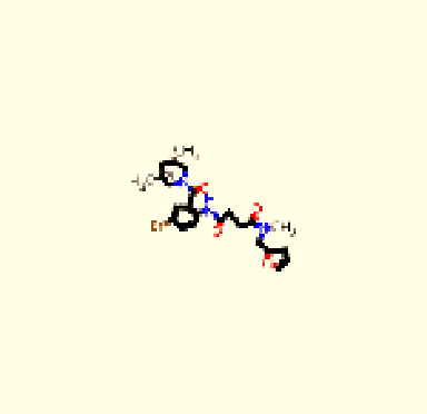 C[C@@H]1C[C@H](C)CN(C(=O)c2cc(Br)ccc2NC(=O)CCC(=O)N(C)Cc2ccco2)C1